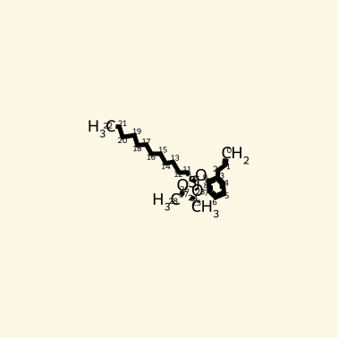 C=CCc1ccccc1O[Si](CCCCCCCCCCCC)(OCC)OCC